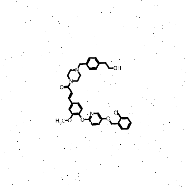 COc1cc(C=CC(=O)N2CCN(Cc3ccc(CCO)cc3)CC2)ccc1Oc1ccc(OCc2ccccc2Cl)cn1